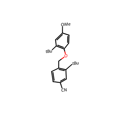 COc1ccc(OCc2ccc(C#N)cc2C(C)(C)C)c(C(C)(C)C)c1